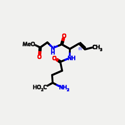 C/C=C/C(NC(=O)CCC(N)C(=O)O)C(=O)NCC(=O)OC